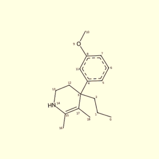 CCCC1(c2cccc(OC)c2)CCNC(C)=C1C